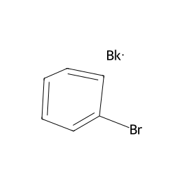 Brc1ccccc1.[Bk]